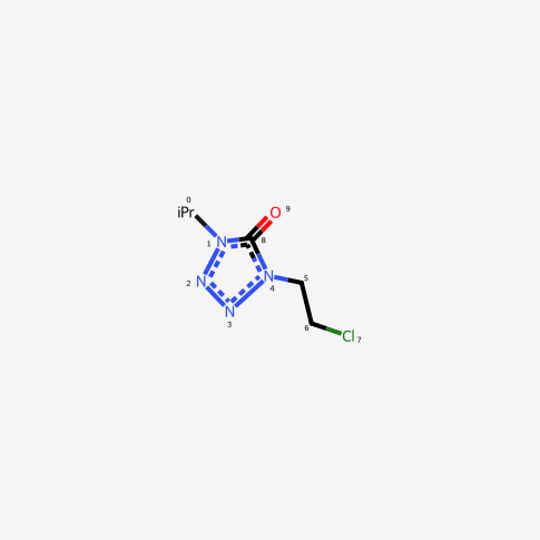 CC(C)n1nnn(CCCl)c1=O